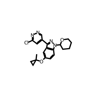 CC1(Oc2ccc3c(c2)c(-c2cnnc(Cl)c2)nn3C2CCCCO2)CC1